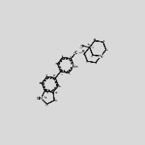 c1cc(O[C@H]2CCN3CCC[C@@H]2C3)ncc1-c1ccc2c(c1)CCN2